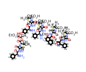 CC1(C)S[C@@H]2[C@H](NC(=O)[C@H](N)c3ccc(O)cc3)C(=O)N2[C@H]1C(=O)O.CC1(C)S[C@@H]2[C@H](NC(=O)[C@H](N)c3ccccc3)C(=O)N2[C@H]1C(=O)O.CCOC(=O)OC(C)OC(=O)[C@@H]1N2C(=O)[C@@H](NC(=O)[C@H](N)c3ccccc3)[C@H]2SC1(C)C.CCOc1ccc2ccccc2c1C(=O)N[C@@H]1C(=O)N2[C@@H]1SC(C)(C)[C@@H]2C(=O)O.Cc1onc(-c2ccccc2)c1C(=O)N[C@@H]1C(=O)N2[C@@H]1SC(C)(C)[C@@H]2C(=O)O